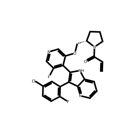 C=CC(=O)N1CCC[C@H]1COc1cncc(F)c1-c1[nH]c2cccnc2c1-c1cc(Cl)ccc1F